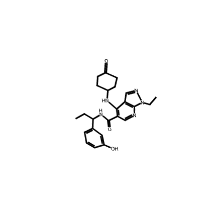 CCC(NC(=O)c1cnc2c(cnn2CC)c1NC1CCC(=O)CC1)c1cccc(O)c1